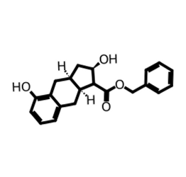 O=C(OCc1ccccc1)C1[C@H](O)C[C@@H]2Cc3c(O)cccc3C[C@H]12